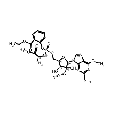 CCOC(=O)c1ccccc1OP(=O)(N[C@@H](C)C(=O)OC)OC[C@H]1O[C@@H](n2cnc3c(OC)nc(N)nc32)[C@](C)(N=[N+]=[N-])[C@@H]1O